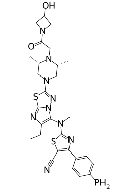 CCc1nc2sc(N3C[C@@H](C)N(CC(=O)N4CC(O)C4)[C@@H](C)C3)nn2c1N(C)c1nc(-c2ccc(P)cc2)c(C#N)s1